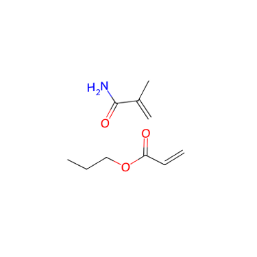 C=C(C)C(N)=O.C=CC(=O)OCCC